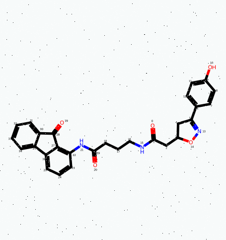 O=C(CC1CC(c2ccc(O)cc2)=NO1)NCCCC(=O)Nc1cccc2c1C(=O)c1ccccc1-2